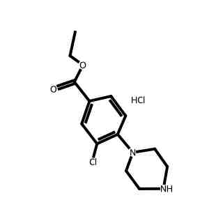 CCOC(=O)c1ccc(N2CCNCC2)c(Cl)c1.Cl